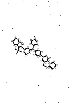 CC(C)(C)c1c(-c2cccc(N(c3ccccc3)c3ccc(-c4ccc5c(ccc6ccccc65)c4)cc3)c2)oc2ccccc12